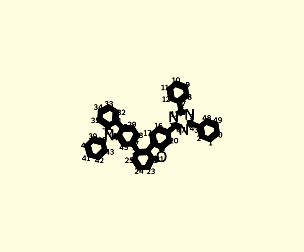 c1ccc(-c2nc(-c3ccccc3)nc(-c3ccc4c(c3)oc3cccc(-c5ccc6c7ccccc7n(-c7ccccc7)c6c5)c34)n2)cc1